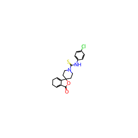 O=C1OC2(CCN(C(=S)Nc3ccc(Cl)cc3)CC2)C2=CCCC=C12